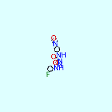 O=C(Nc1ccc(N2CCOCC2)cc1)c1nnc(Nc2cccc(F)c2)o1